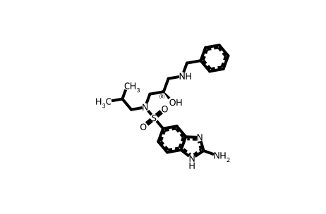 CC(C)CN(C[C@H](O)CNCc1ccccc1)S(=O)(=O)c1ccc2[nH]c(N)nc2c1